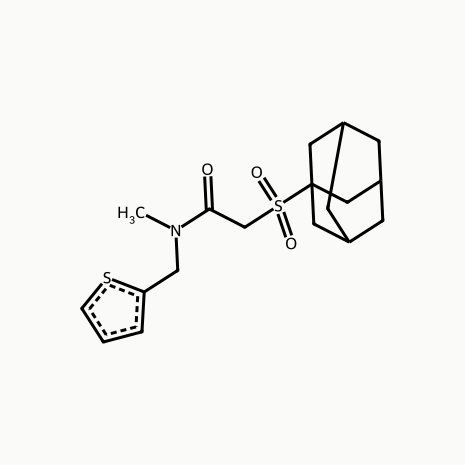 CN(Cc1cccs1)C(=O)CS(=O)(=O)C12CC3CC(CC(C3)C1)C2